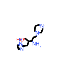 NC(CCN1CCC[N]CC1)C(CO)Cc1ncc[nH]1